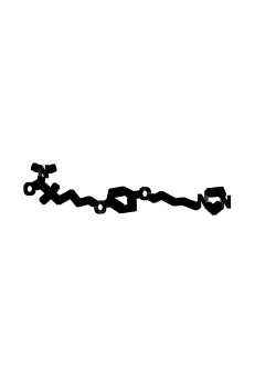 CN(C)C(=O)C(C)(C)CCCCOc1ccc(OCCCCCn2ccnc2)cc1